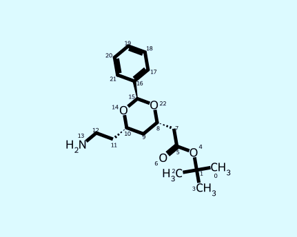 CC(C)(C)OC(=O)C[C@@H]1C[C@H](CCN)O[C@@H](c2ccccc2)O1